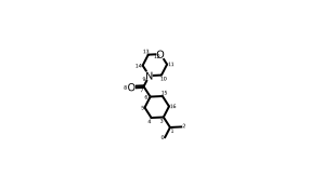 CC(C)C1CCC(C(=O)N2CCOCC2)CC1